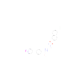 CC1(C)CN(C(=O)c2ccc(-c3cc[n+]([O-])cc3)cc2)CCN1S(=O)(=O)c1ccc2cc(Cl)ccc2c1